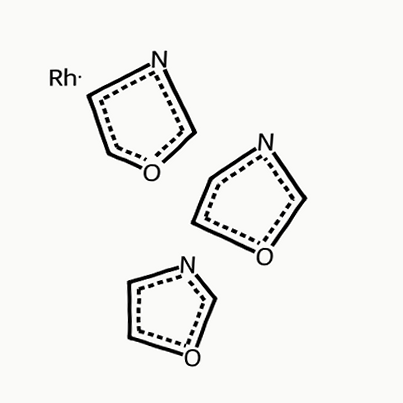 [Rh].c1cocn1.c1cocn1.c1cocn1